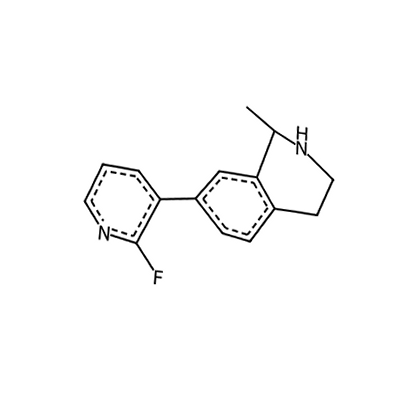 CC1NCCc2ccc(-c3cccnc3F)cc21